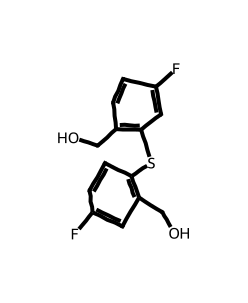 OCc1cc(F)ccc1Sc1cc(F)ccc1CO